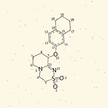 O=S1(=O)CCN2CCCC(Oc3ccc4c(c3)CCCC4)C2=N1